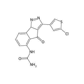 NC(=O)Nc1cccc2c1C(=O)C1=C(c3csc(Cl)c3)N=NC12